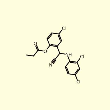 CCC(=O)Oc1ccc(Cl)cc1C(C#N)Nc1ccc(Cl)cc1Cl